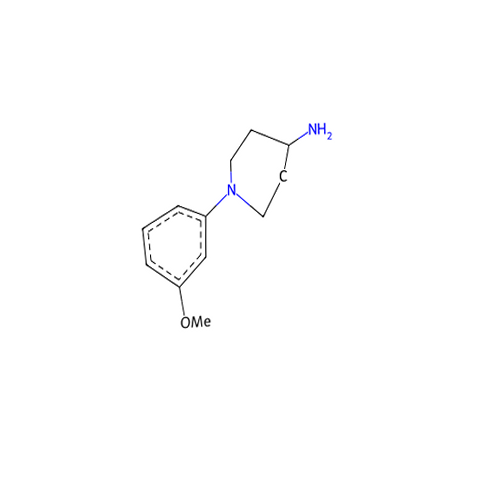 COc1cccc(N2CCC(N)CC2)c1